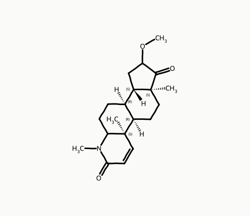 COC1C[C@H]2[C@@H]3CCC4N(C)C(=O)C=C[C@]4(C)[C@@H]3CC[C@]2(C)C1=O